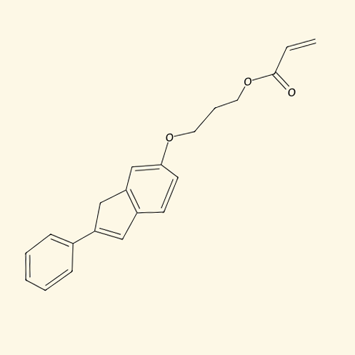 C=CC(=O)OCCCOc1ccc2c(c1)CC(c1ccccc1)=C2